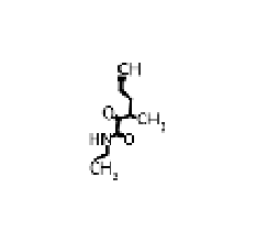 C#CCCC(C)C(=O)C(=O)NCCC